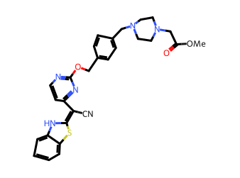 COC(=O)CN1CCN(Cc2ccc(COc3nccc(C(C#N)=C4Nc5ccccc5S4)n3)cc2)CC1